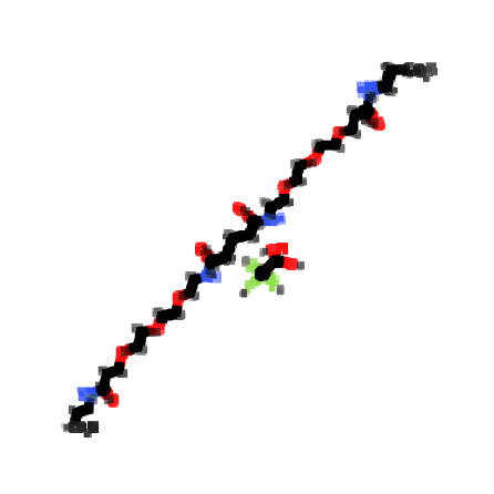 O=C(O)C(F)(F)F.O=C(O)CCNC(=O)CCOCCOCCOCCNC(=O)CCCC(=O)NCCOCCOCCOCCC(=O)NCCC(=O)O